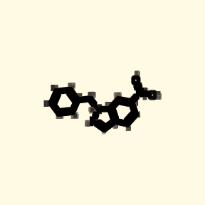 O=[N+]([O-])c1ccc2cnn(Cc3ccccc3)c2c1